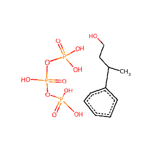 CC(CCO)c1ccccc1.O=P(O)(O)OP(=O)(O)OP(=O)(O)O